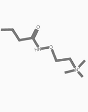 CC[CH]C(=O)NOCC[N+](C)(C)C